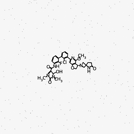 COc1nc(-c2cccc(-c3cccc(NC(=O)C4=CN(C)C(=O)N(C)C4O)c3F)c2Cl)cc2c1[C@@H](N1CC3(CCC(=O)N3)C1)CO2